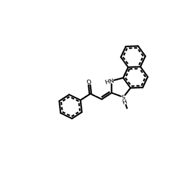 C[SH]1C(=CC(=O)c2ccccc2)Nc2c1ccc1ccccc21